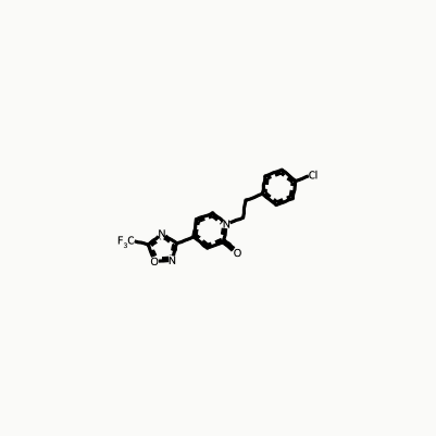 O=c1cc(-c2noc(C(F)(F)F)n2)ccn1CCc1ccc(Cl)cc1